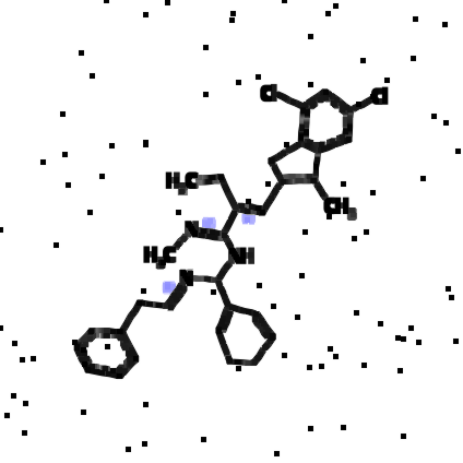 C=CC(=C\C1=C(C)c2cc(Cl)cc(Cl)c2C1)/C(=N/C)NC(/N=C/Cc1ccccc1)C1=CCCC=C1